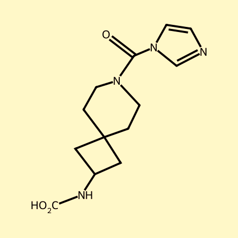 O=C(O)NC1CC2(CCN(C(=O)n3ccnc3)CC2)C1